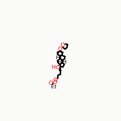 CCC(=O)OOCCCC#C[C@]1(O)CC[C@H]2[C@@H]3CCc4cc(OC5CCCCO5)ccc4[C@H]3CC[C@@]21C